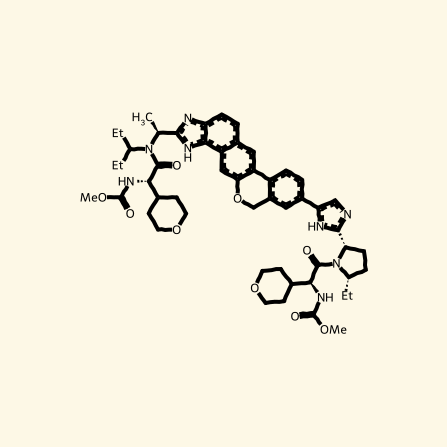 CCC(CC)N(C(=O)[C@@H](NC(=O)OC)C1CCOCC1)[C@@H](C)c1nc2ccc3cc4c(cc3c2[nH]1)OCc1cc(-c2cnc([C@@H]3CC[C@H](CC)N3C(=O)[C@@H](NC(=O)OC)C3CCOCC3)[nH]2)ccc1-4